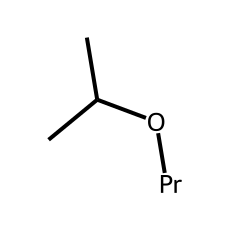 CC(C)[O][Pr]